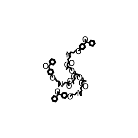 CC(COCC(COCC(C)OC(=O)CCN(C)CCCOc1ccc(C(=O)c2ccccc2)cc1)OCC(C)OC(=O)CCN(C)CCCOc1ccc(C(=O)c2ccccc2)cc1)OC(=O)CCN(C)CCCOc1ccc(C(=O)c2ccccc2)cc1